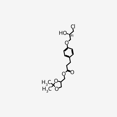 CC1(C)OCC(COC(=O)CCc2ccc(OC[C@@H](O)CCl)cc2)O1